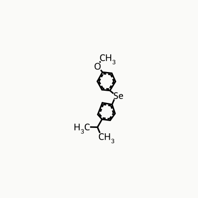 COc1ccc([Se]c2ccc(C(C)C)cc2)cc1